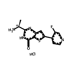 C[C@H](N)c1nc2cc(-c3ccncc3F)sc2c(=O)[nH]1.Cl